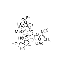 C/C=C(/N=C=S)C(=O)OC1C(COC(C)=O)OC(C2(O)CC(=O)C(=N)C(C(=O)O)=C2O)C(O)C1OC1CC(OC)C(O)(C(C)OC(=O)CC)C(C)O1